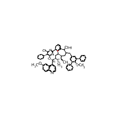 C=CC1CC(Cc2cc(-c3ccccc3)c(OC)c(-c3ccccc3)c2)C(O)CCC1CC(C)[C@@H](Oc1nc(-c2ccccc2)nc(Cl)c1-c1ccccc1)c1ccnc2ccc(OC)cc12